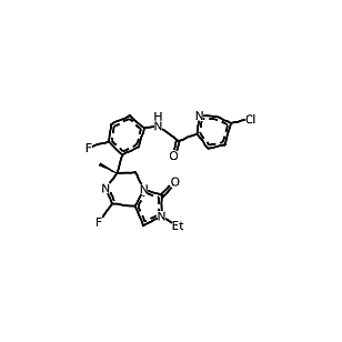 CCn1cc2n(c1=O)C[C@@](C)(c1cc(NC(=O)c3ccc(Cl)cn3)ccc1F)N=C2F